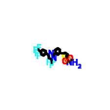 NS(=O)(=O)c1ccc(-c2cccc(-c3nc(-c4ccc(C(F)(F)F)c(F)c4)cc(C(F)(F)F)n3)c2)s1